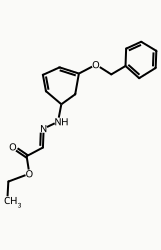 CCOC(=O)/C=N/NC1C=CC=C(OCc2ccccc2)C1